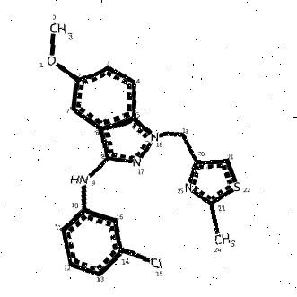 COc1ccc2c(c1)c(Nc1cccc(Cl)c1)nn2Cc1csc(C)n1